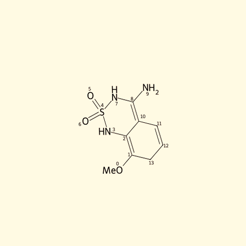 COC1=C2NS(=O)(=O)NC(N)=C2C=CC1